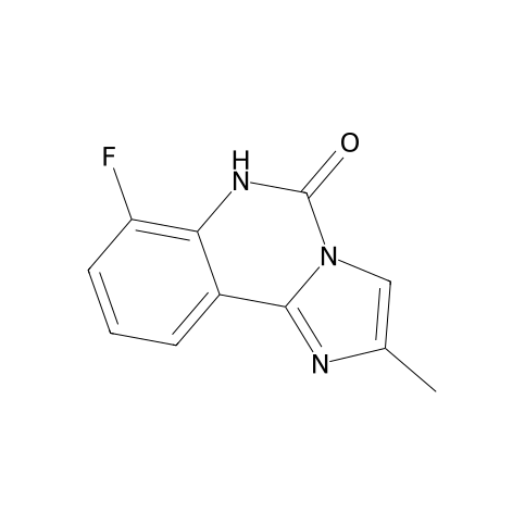 Cc1cn2c(=O)[nH]c3c(F)cccc3c2n1